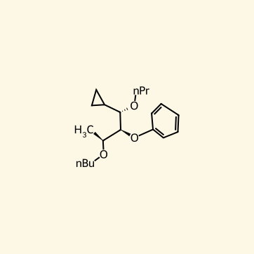 CCCCO[C@@H](C)[C@H](Oc1ccccc1)[C@@H](OCCC)C1CC1